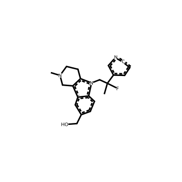 CN1CCc2c(c3cc(CO)ccc3n2CC(C)(F)c2cccnc2)C1